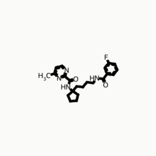 Cc1ccnc(C(=O)NC2(CCCCNC(=O)c3cccc(F)c3)CCCC2)n1